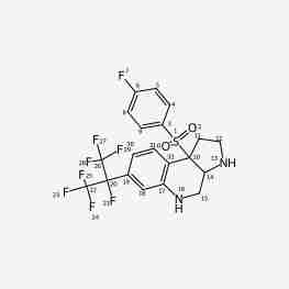 O=S(=O)(c1ccc(F)cc1)C12CCNC1CNc1cc(C(F)(C(F)(F)F)C(F)(F)F)ccc12